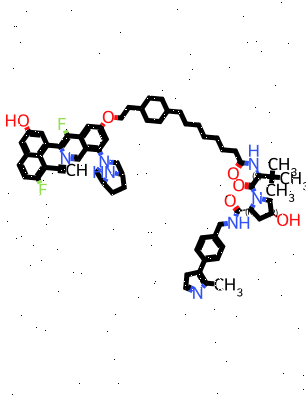 C#Cc1c(F)ccc2cc(O)cc(-c3ncc4c(N5CC6CCC(C5)N6)cc(OCCC5CCC(CCCCCCCC(=O)N[C@H](C(=O)N6C[C@H](O)C[C@@H]6C(=O)NCc6ccc(C7=C(C)N=CC7)cc6)C(C)(C)C)CC5)cc4c3F)c12